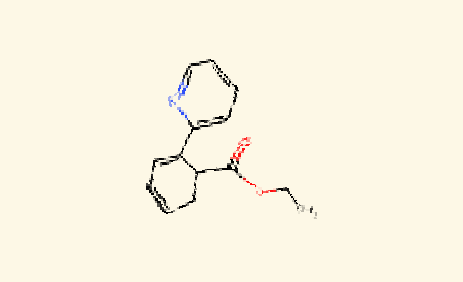 CCOC(=O)C1CC=CC=C1c1ccccn1